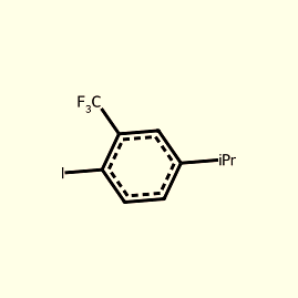 CC(C)c1ccc(I)c(C(F)(F)F)c1